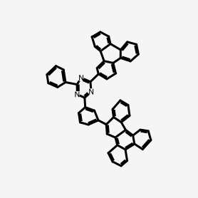 c1ccc(-c2nc(-c3cccc(-c4cc5c6ccccc6c6ccccc6c5c5ccccc45)c3)nc(-c3ccc4c5ccccc5c5ccccc5c4c3)n2)cc1